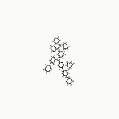 c1ccc(-c2cccc(N(c3ccc(-c4ccc(-c5ccccc5)cc4-c4ccccc4)cc3)c3ccc4c(c3)c(-c3ccccc3)c(-c3ccccc3)c3ccccc34)c2)cc1